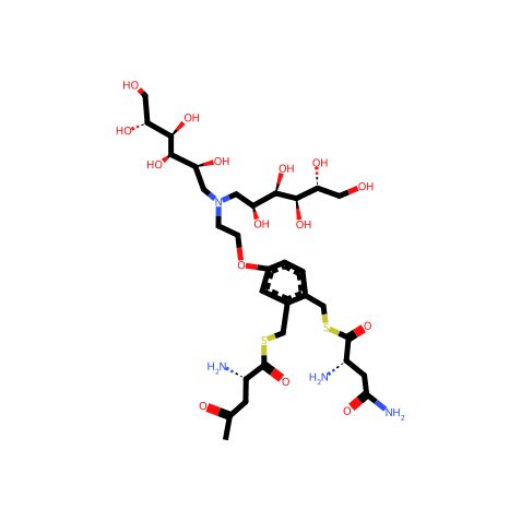 CC(=O)C[C@H](N)C(=O)SCc1cc(OCCN(C[C@H](O)[C@@H](O)[C@H](O)[C@H](O)CO)C[C@H](O)[C@@H](O)[C@H](O)[C@H](O)CO)ccc1CSC(=O)[C@@H](N)CC(N)=O